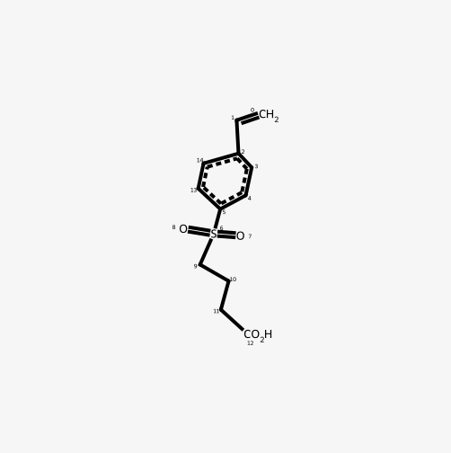 C=Cc1ccc(S(=O)(=O)CCCC(=O)O)cc1